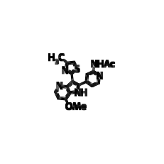 COc1ccnc2c(-c3nc(C)cs3)c(-c3ccnc(NC(C)=O)c3)[nH]c12